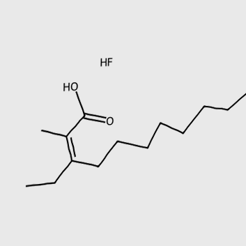 CCCCCCCCC(CC)=C(C)C(=O)O.F